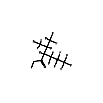 CCC(=O)C(F)(C(F)(F)C(F)(F)C(F)(F)F)C(F)(C(F)(F)F)C(F)(F)F